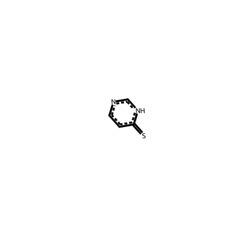 S=c1ccnc[nH]1